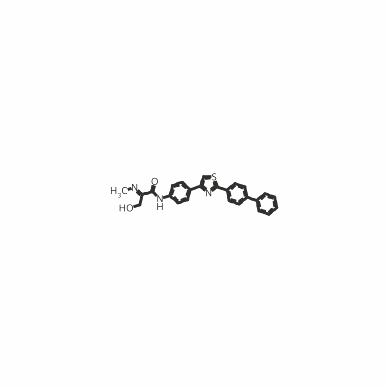 C/N=C(\CO)C(=O)Nc1ccc(-c2csc(-c3ccc(-c4ccccc4)cc3)n2)cc1